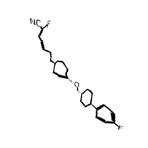 N#C/C(F)=C/C=C/CC[C@H]1CC[C@H](OC[C@H]2CC[C@H](c3ccc(F)cc3)CC2)CC1